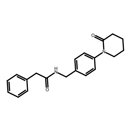 O=C(Cc1ccccc1)NCc1ccc(N2CCCCC2=O)cc1